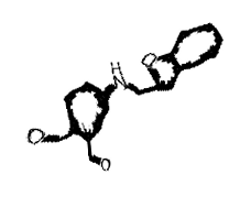 O=Cc1ccc(NCc2cc3ccccc3o2)cc1C=O